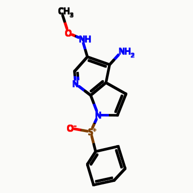 CONc1cnc2c(ccn2[S+]([O-])c2ccccc2)c1N